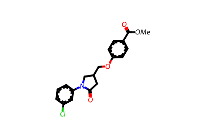 COC(=O)c1ccc(OCC2CC(=O)N(c3cccc(Cl)c3)C2)cc1